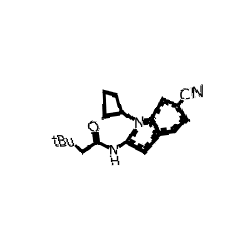 CC(C)(C)CC(=O)Nc1cc2ccc(C#N)cc2n1C1CCC1